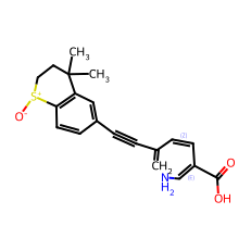 C=C(C#Cc1ccc2c(c1)C(C)(C)CC[S+]2[O-])/C=C\C(=C/N)C(=O)O